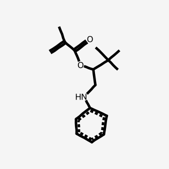 C=C(C)C(=O)OC(CNc1ccccc1)C(C)(C)C